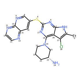 CCc1[nH]c2nc(Sc3cnc4nccnc4c3)nc(N3CCC[C@@H](N)C3)c2c1Cl